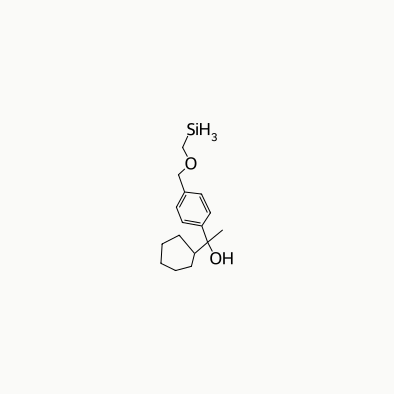 CC(O)(c1ccc(COC[SiH3])cc1)C1CCCCC1